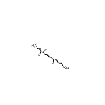 CCOC(=O)C(O)CC=COC(=O)/C=C/CCO